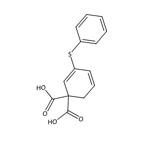 O=C(O)C1(C(=O)O)C=C(Sc2ccccc2)C=CC1